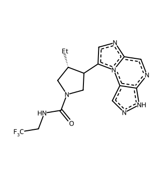 CC[C@H]1CN(C(=O)NCC(F)(F)F)CC1c1cnc2cnc3[nH]ncc3n12